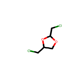 ClCC1COC(CCl)O1